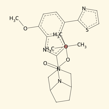 COc1ccc(-c2nccs2)c2oc(N3CC4CCC(C3)N4C(=O)OC(C)(C)C)nc12